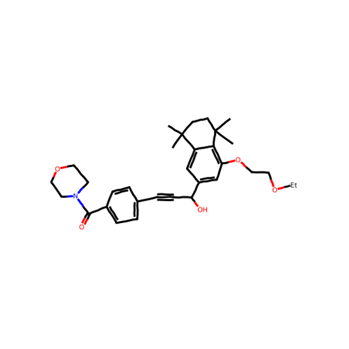 CCOCCOc1cc(C(O)C#Cc2ccc(C(=O)N3CCOCC3)cc2)cc2c1C(C)(C)CCC2(C)C